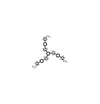 Cc1nc(-c2ccc(-c3nc(-c4cc(-c5noc(-c6ccc(-c7noc(C)n7)cc6)n5)cc(-c5noc(-c6ccc(-c7noc(C)n7)cc6)n5)c4)no3)cc2)no1